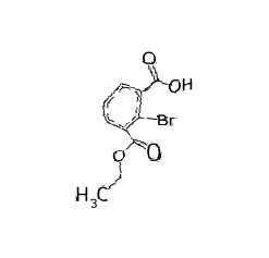 CCOC(=O)c1cccc(C(=O)O)c1Br